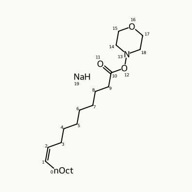 CCCCCCCC/C=C\CCCCCCCC(=O)ON1CCOCC1.[NaH]